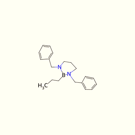 CCCB1N(Cc2ccccc2)CCCN1Cc1ccccc1